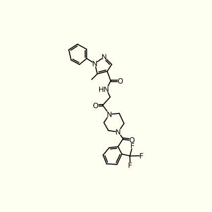 Cc1c(C(=O)NCC(=O)N2CCN(C(=O)c3ccccc3C(F)(F)F)CC2)cnn1-c1ccccc1